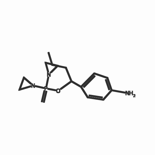 C=P(OC(CCC)c1ccc(N)cc1)(N1CC1)N1CC1